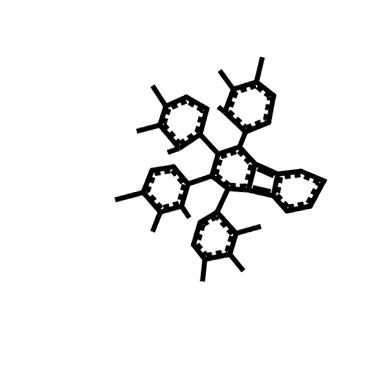 Cc1ccc(-c2c(-c3ccc(C)c(C)c3C)c(-c3ccc(C)c(C)c3C)c3c(c2-c2ccc(C)c(C)c2C)=c2ccccc2=3)c(C)c1C